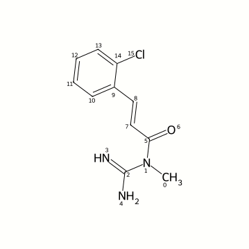 CN(C(=N)N)C(=O)/C=C/c1ccccc1Cl